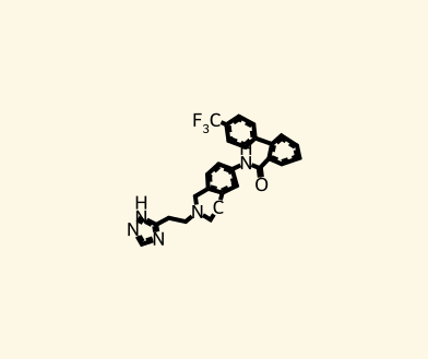 O=C(Nc1ccc2c(c1)CCN(CCc1ncn[nH]1)C2)c1ccccc1-c1ccc(C(F)(F)F)cc1